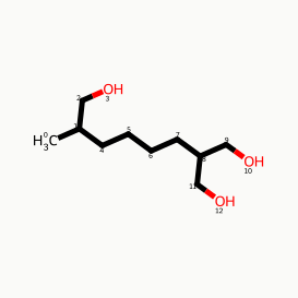 CC(CO)CCCCC(CO)CO